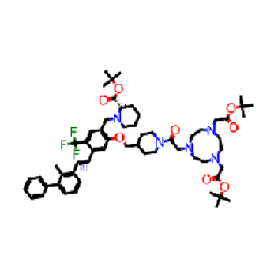 Cc1c(/C=C/c2cc(OCC3CCN(C(=O)CN4CCN(CC(=O)OC(C)(C)C)CCN(CC(=O)OC(C)(C)C)CC4)CC3)c(CN3CCCC[C@H]3C(=O)OC(C)(C)C)cc2C(F)(F)F)cccc1-c1ccccc1